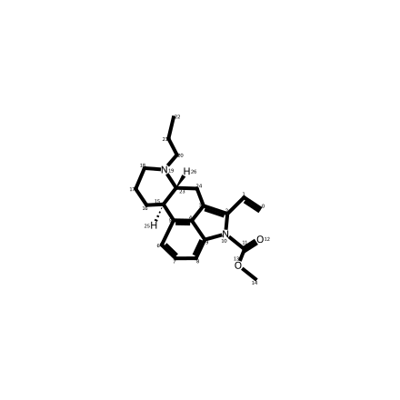 C=Cc1c2c3c(cccc3n1C(=O)OC)[C@H]1CCCN(CCC)[C@@H]1C2